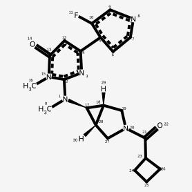 CN(c1nc(-c2ccncc2F)cc(=O)n1C)[C@H]1[C@@H]2CN(C(=O)C3CCC3)C[C@@H]21